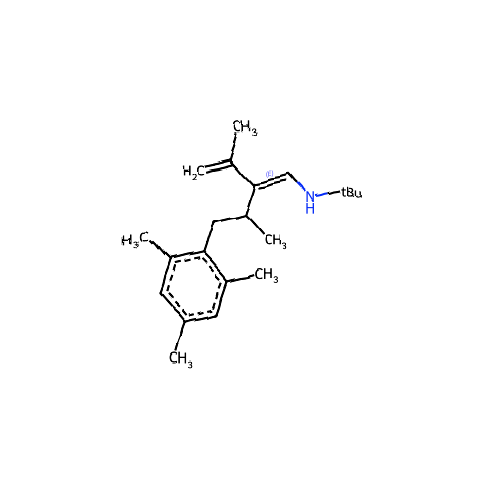 C=C(C)/C(=C/NC(C)(C)C)C(C)Cc1c(C)cc(C)cc1C